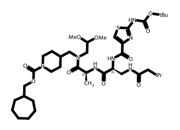 COC(CN(CC1CCN(C(=O)OCC2CCCCCC2)CC1)C(=O)[C@H](C)NC(=O)[C@H](CNC(=O)CC(C)C)NC(=O)c1csc(NC(=O)OC(C)(C)C)n1)OC